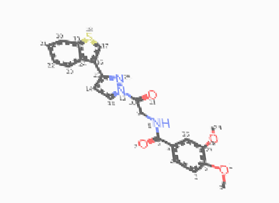 COc1ccc(C(=O)NCC(=O)n2ccc(-c3csc4ccccc34)n2)cc1OC